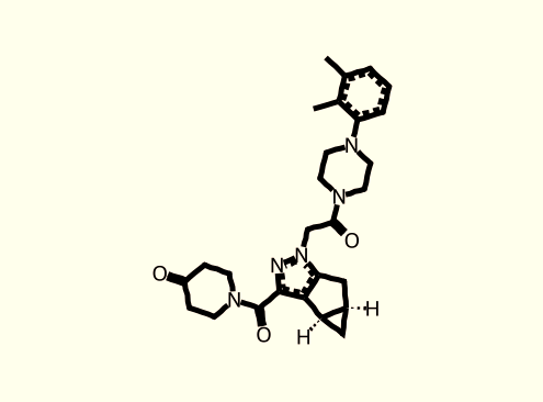 Cc1cccc(N2CCN(C(=O)Cn3nc(C(=O)N4CCC(=O)CC4)c4c3C[C@H]3C[C@@H]43)CC2)c1C